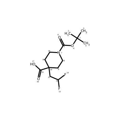 CC(C)(C)OC(=O)N1CCC(CC(F)F)(C(=O)O)CC1